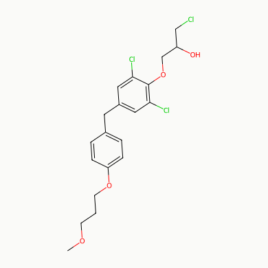 COCCCOc1ccc(Cc2cc(Cl)c(OCC(O)CCl)c(Cl)c2)cc1